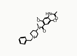 COc1cc(NC(C)=O)c(Cl)cc1C(=O)N(C)C1CCN(Cc2ccccc2)CC1